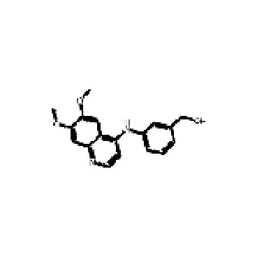 COc1cc2nccc(Nc3cccc(CO)c3)c2cc1OC